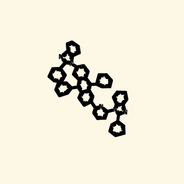 c1ccc(-c2c3ccc(-n4c(-c5ccccc5)nc5ccccc54)cc3c(-c3ccccc3)c3ccc(-c4cccc(-n5c(-c6ccccc6)nc6ccccc65)n4)cc23)cc1